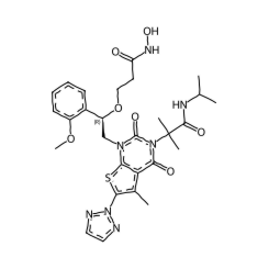 COc1ccccc1[C@H](Cn1c(=O)n(C(C)(C)C(=O)NC(C)C)c(=O)c2c(C)c(-n3nccn3)sc21)OCCC(=O)NO